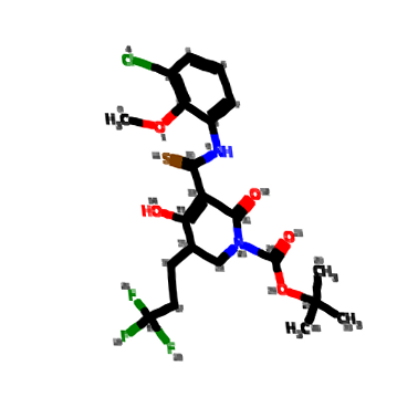 COc1c(Cl)cccc1NC(=S)C1=C(O)C(CCC(F)(F)F)CN(C(=O)OC(C)(C)C)C1=O